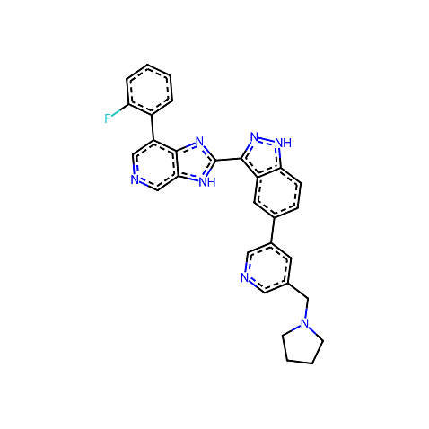 Fc1ccccc1-c1cncc2[nH]c(-c3n[nH]c4ccc(-c5cncc(CN6CCCC6)c5)cc34)nc12